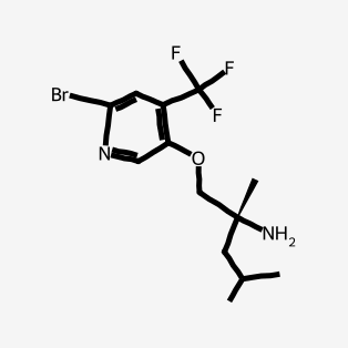 CC(C)C[C@@](C)(N)COc1cnc(Br)cc1C(F)(F)F